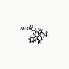 COC(=O)CCC1N=C(c2ccccn2)c2cc(Br)ccc2-n2c(C3CCC3)cnc21